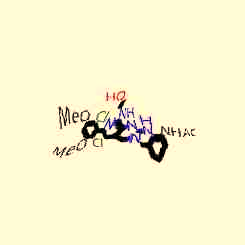 COc1cc(OC)c(Cl)c(-c2cc3cnc(Nc4c(C)cccc4NC(C)=O)nc3c(NCCO)n2)c1Cl